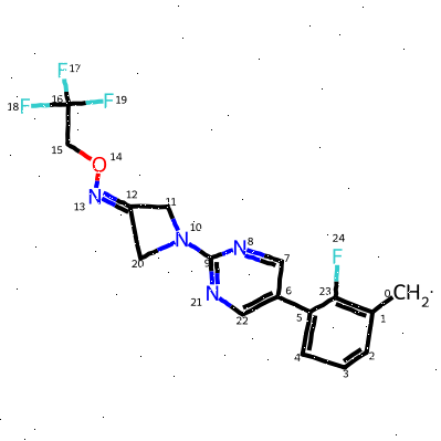 [CH2]c1cccc(-c2cnc(N3CC(=NOCC(F)(F)F)C3)nc2)c1F